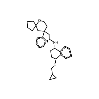 c1ccc(C2(CCN[C@H]3CC[C@H](OCC4CC4)c4ccccc43)CCOC3(CCCC3)C2)nc1